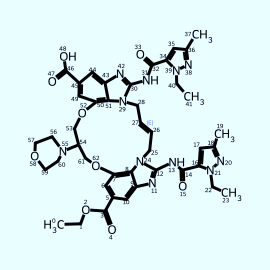 CCOC(=O)c1cc2c3c(c1)nc(NC(=O)c1cc(C)nn1CC)n3C/C=C/Cn1c(NC(=O)c3cc(C)nn3CC)nc3cc(C(=O)O)cc(c31)OCC(N1CCOCC1)CO2